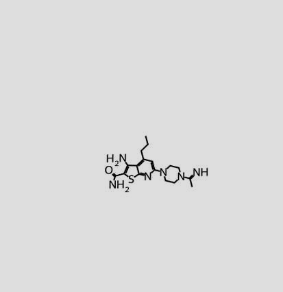 CCCc1cc(N2CCN(C(C)=N)CC2)nc2sc(C(N)=O)c(N)c12